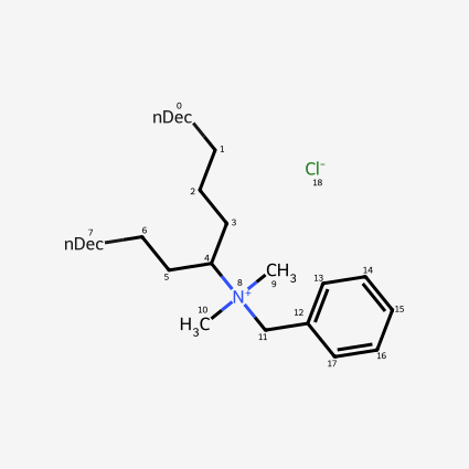 CCCCCCCCCCCCCC(CCCCCCCCCCCC)[N+](C)(C)Cc1ccccc1.[Cl-]